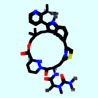 CCN(CC)C(=O)N(C)C(C(=O)N[C@H]1Cc2nc(cs2)-c2ccc3c(c2)c(c(-c2cccnc2[C@H](C)OC)n3CC)CC(C)(C)COC(=O)[C@@H]2CCCN(N2)C1=O)C(C)C